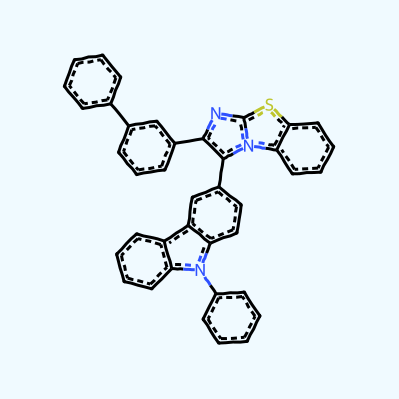 c1ccc(-c2cccc(-c3nc4sc5ccccc5n4c3-c3ccc4c(c3)c3ccccc3n4-c3ccccc3)c2)cc1